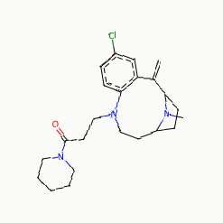 C=C1c2cc(Cl)ccc2N(CCC(=O)N2CCCCC2)CCC2CCC1N2C